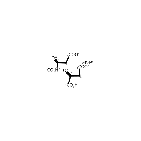 O=C([O-])CC(=O)C(=O)O.O=C([O-])CC(=O)C(=O)O.[Pd+2]